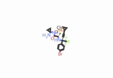 CS(=O)(=O)C[C@H](N[C@@](C#CC1CC1)(c1ccc(Br)cc1)C(F)(F)F)C(=O)NC1(N)CC1